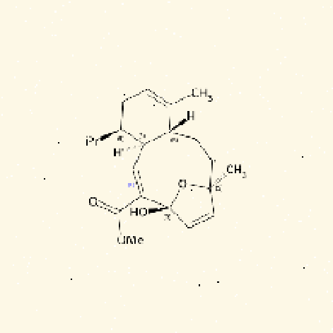 COC(=O)/C1=C/[C@H]2[C@@H](C(C)C)CC=C(C)[C@@H]2C[C][C@@]2(C)C=C[C@@]1(O)O2